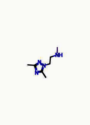 Cc1nc(C)n(CCNI)n1